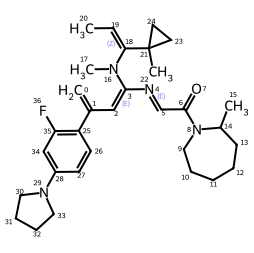 C=C(/C=C(/N=C/C(=O)N1CCCCCC1C)N(C)/C(=C\C)C1(C)CC1)c1ccc(N2CCCC2)cc1F